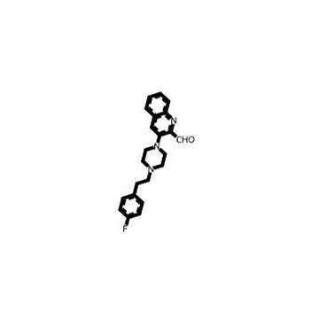 O=Cc1nc2ccccc2cc1N1CCN(CCc2ccc(F)cc2)CC1